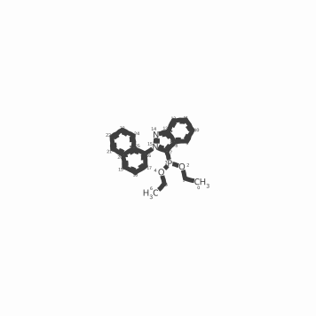 CCOP(OCC)c1c2ccccc2nn1-c1cccc2ccccc12